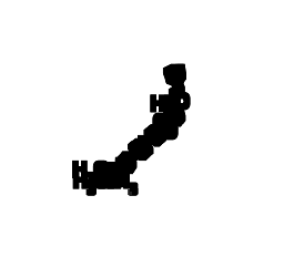 CC(C)(C)OC(=O)N1CCC(C2CCN(c3ccc(S(=O)(=O)N4CCCC(NC(=O)CCc5ccccc5)C4)cc3)CC2)CC1